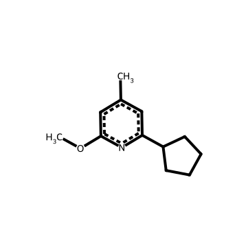 COc1cc(C)cc(C2CCCC2)n1